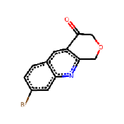 O=C1COCc2nc3cc(Br)ccc3cc21